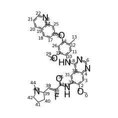 COc1cc2ncnc(Nc3cc(C)c(Oc4ccc5cccnc5c4)cc3OC)c2cc1NC(=O)/C(F)=C/C1CCCN1C